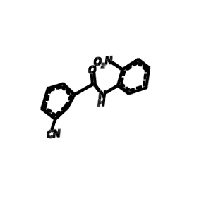 N#Cc1cccc(C(=O)Nc2ccccc2[N+](=O)[O-])c1